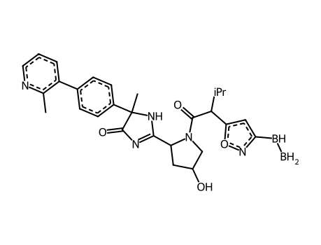 BBc1cc(C(C(=O)N2CC(O)CC2C2=NC(=O)C(C)(c3ccc(-c4cccnc4C)cc3)N2)C(C)C)on1